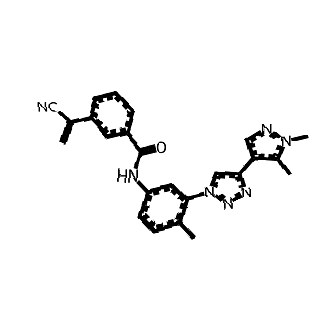 C=C(C#N)c1cccc(C(=O)Nc2ccc(C)c(-n3cc(-c4cnn(C)c4C)nn3)c2)c1